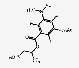 CC(=O)Nc1c(I)c(C(=O)OC(CS(=O)(=O)O)C(F)(F)F)c(I)c(N(C)C(C)=O)c1I